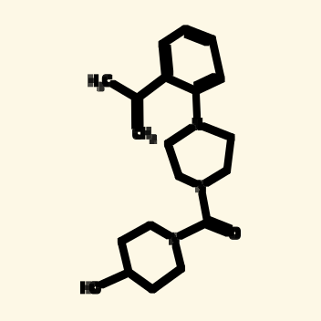 C=C(C)c1ccccc1N1CCN(C(=O)N2CCC(O)CC2)CC1